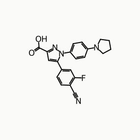 N#Cc1ccc(-c2cc(C(=O)O)nn2-c2ccc(N3CCCC3)cc2)cc1F